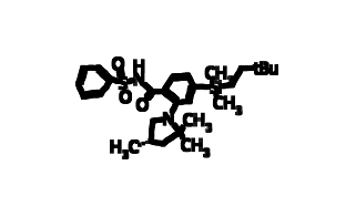 C[C@@H]1CN(c2cc([Si](C)(C)CCC(C)(C)C)ccc2C(=O)NS(=O)(=O)c2ccccc2)C(C)(C)C1